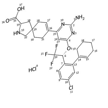 Cl.Nc1nc(O[C@H](c2ccc(Cl)cc2C2=CCCCC2)C(F)(F)F)cc(C2=CCC3(CC2)CNC(C(=O)O)C3)n1